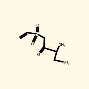 C=CS(=O)(=O)CC(=O)C(N)CN